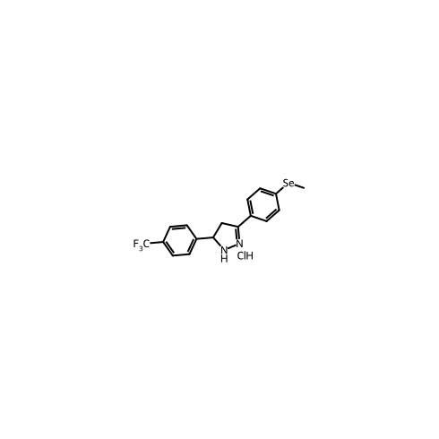 C[Se]c1ccc(C2=NNC(c3ccc(C(F)(F)F)cc3)C2)cc1.Cl